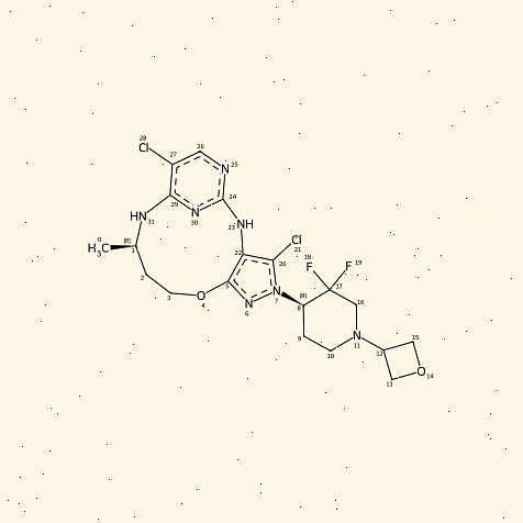 C[C@@H]1CCOc2nn([C@@H]3CCN(C4COC4)CC3(F)F)c(Cl)c2Nc2ncc(Cl)c(n2)N1